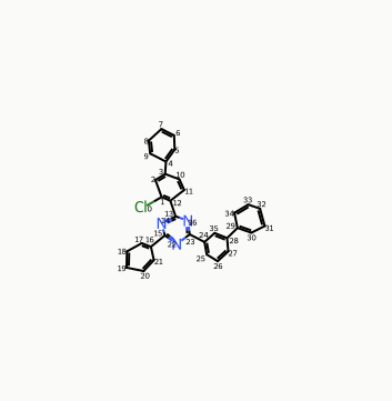 Clc1cc(-c2ccccc2)ccc1-c1nc(-c2ccccc2)nc(-c2cccc(-c3ccccc3)c2)n1